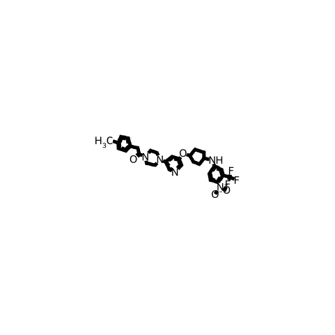 Cc1ccc(CC(=O)N2CCN(c3cncc(OC4CCC(Nc5ccc([N+](=O)[O-])c(C(F)(F)F)c5)CC4)c3)CC2)cc1